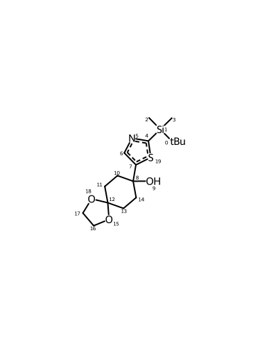 CC(C)(C)[Si](C)(C)c1ncc(C2(O)CCC3(CC2)OCCO3)s1